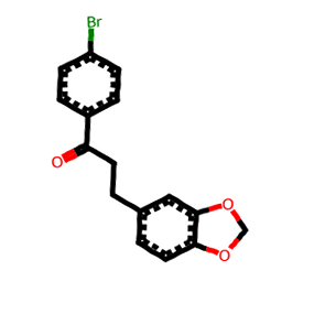 O=C(CCc1ccc2c(c1)OCO2)c1ccc(Br)cc1